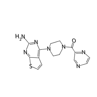 Nc1nc(N2CCN(C(=O)c3cnccn3)CC2)c2ccsc2n1